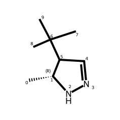 C[C@H]1NN=CC1C(C)(C)C